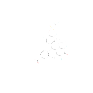 Cc1cc(C(=O)O)ccc1C1=C2C=C(F)C(=O)C(F)=C2[Si](C)(C)c2c1cc(F)c(OS(=O)(=O)C(F)(F)F)c2F